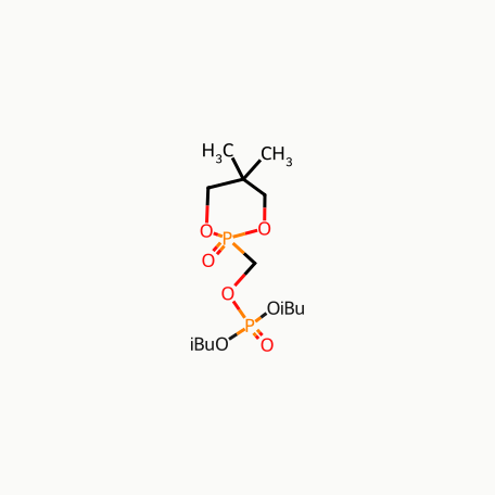 CC(C)COP(=O)(OCC(C)C)OCP1(=O)OCC(C)(C)CO1